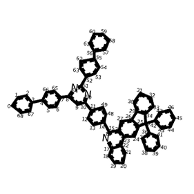 c1ccc(-c2ccc(-c3cc(-c4ccc(-c5nc6ccccc6c6cc7c(cc56)-c5ccccc5C7(c5ccccc5)c5ccccc5)cc4)nc(-c4ccc(-c5ccccc5)cc4)n3)cc2)cc1